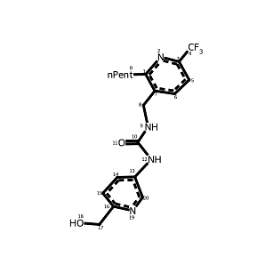 CCCCCc1nc(C(F)(F)F)ccc1CNC(=O)Nc1ccc(CO)nc1